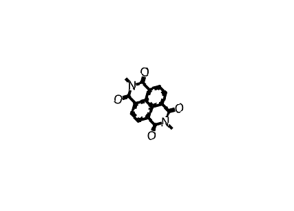 CN1C(=O)c2ccc3c4c(ccc(c24)C1=O)C(=O)N(C)C3=O